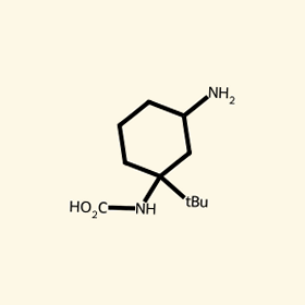 CC(C)(C)C1(NC(=O)O)CCCC(N)C1